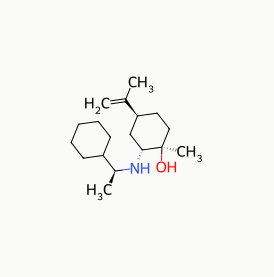 C=C(C)[C@H]1CC[C@@](C)(O)[C@H](N[C@@H](C)C2CCCCC2)C1